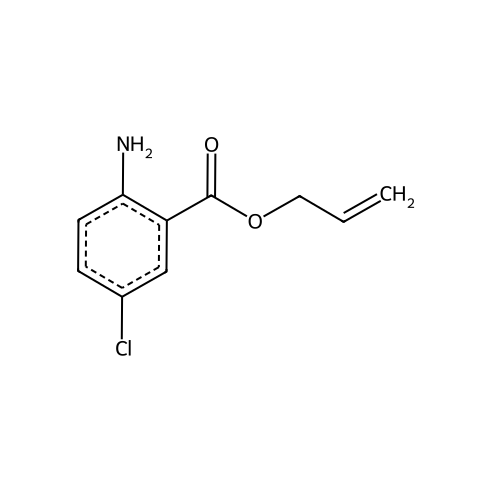 C=CCOC(=O)c1cc(Cl)ccc1N